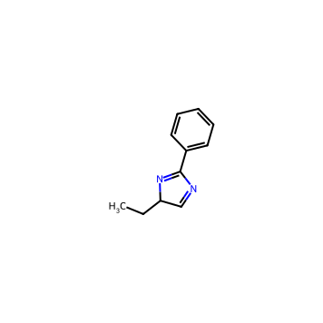 CCC1C=NC(c2ccccc2)=N1